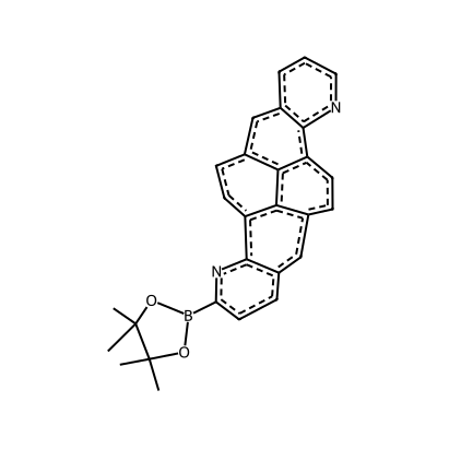 CC1(C)OB(c2ccc3cc4ccc5c6ncccc6cc6ccc(c3n2)c4c65)OC1(C)C